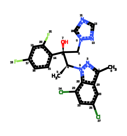 Cc1nn([C@H](C)[C@](O)(Cn2cncn2)c2ccc(F)cc2F)c2c(Cl)cc(Cl)cc12